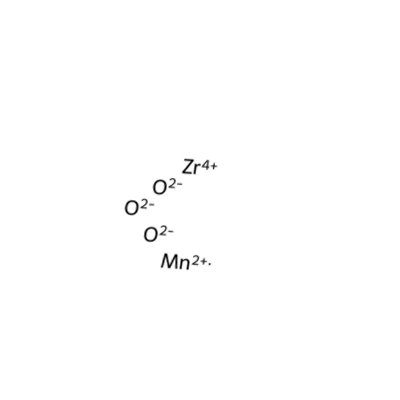 [Mn+2].[O-2].[O-2].[O-2].[Zr+4]